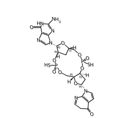 Nc1nc2c(ncn2[C@@H]2O[C@@H]3COP(=O)(S)O[C@H]4C[C@H](n5ccc6c5N=CCC6=O)O[C@@H]4COP(=O)(S)O[C@@H]2C3)c(=O)[nH]1